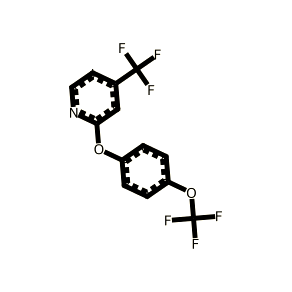 FC(F)(F)Oc1ccc(Oc2cc(C(F)(F)F)[c]cn2)cc1